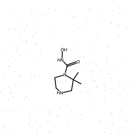 CC1(C)CNCCN1C(=O)NO